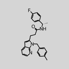 Cc1ccc(Cn2c(CCC(=O)N[C@@H](C)c3ccc(F)cc3)cc3cccnc32)cc1